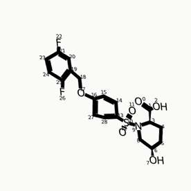 O=C(O)[C@H]1CC[C@@H](O)CN1S(=O)(=O)c1ccc(OCc2cc(F)ccc2F)cc1